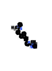 Cn1c(-c2cccc(-c3ccc4c5c(cccc35)-c3ccc(-c5cccc(-c6nc7ccccc7n6C)n5)cc3-4)c2)nc2ccccc21